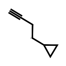 C#CC[CH]C1CC1